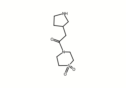 O=C(CC1CCNC1)N1CCS(=O)(=O)CC1